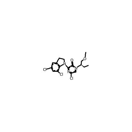 CC[C@H](COC)n1cc(Cl)nc(N2CCc3cc(Cl)cc(Cl)c32)c1=O